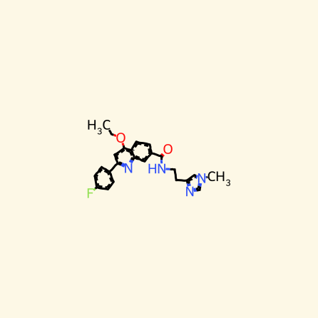 CCOc1cc(-c2ccc(F)cc2)nc2cc(C(=O)NCCc3cn(C)cn3)ccc12